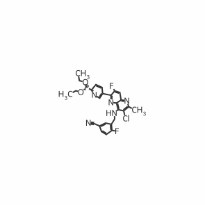 CCOP(OCC)c1ccc(-c2nc3c(NCc4cc(C#N)ccc4F)c(Cl)c(C)nc3cc2F)cn1